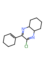 ClC1=NC2CCCCC2N=C1C1=CCCCC1